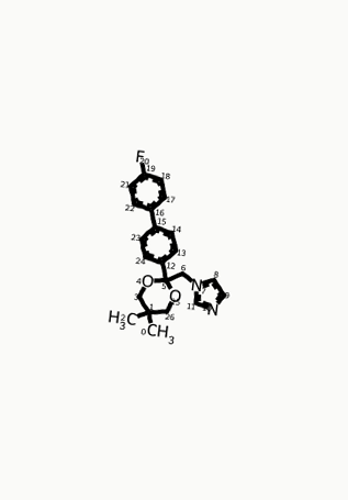 CC1(C)COC(Cn2ccnc2)(c2ccc(-c3ccc(F)cc3)cc2)OC1